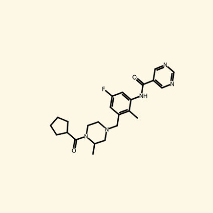 Cc1c(CN2CCN(C(=O)C3CCCC3)C(C)C2)cc(F)cc1NC(=O)c1cncnc1